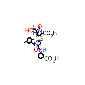 Cc1ccc(C)c(CN2C[C@@H](SC3=C(C(=O)O)N4C(=O)[C@H]([C@@H](C)O)[C@H]4[C@H]3C)C[C@H]2C(=O)Nc2cccc(C(=O)O)c2)c1